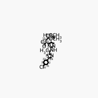 C[C@H](Nc1nccc(N2C(=O)OC[C@@H]2[C@@H](C)OC(C)(C)C)n1)c1ncc(-c2ccc(Cl)cc2)s1